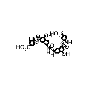 O=C(Nc1ccc2c(O)cc(S(=O)(=O)Nc3ccc(C(=O)O)cc3)cc2c1)Nc1ccc2c(O)cc(S(=O)(=O)Nc3ccc(C(=O)O)cc3)cc2c1